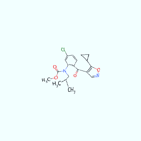 COC(=O)N(CC(C)C)c1cc(Cl)ccc1C(=O)c1cnoc1C1CC1